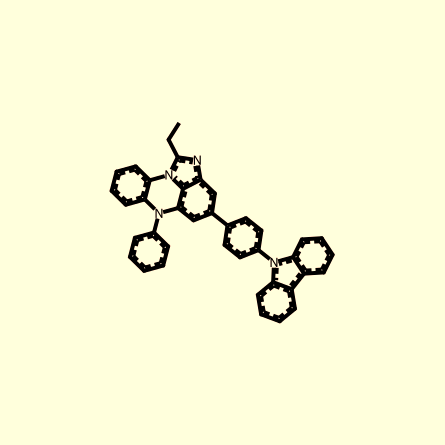 CCc1nc2cc(-c3ccc(-n4c5ccccc5c5ccccc54)cc3)cc3c2n1-c1ccccc1N3c1ccccc1